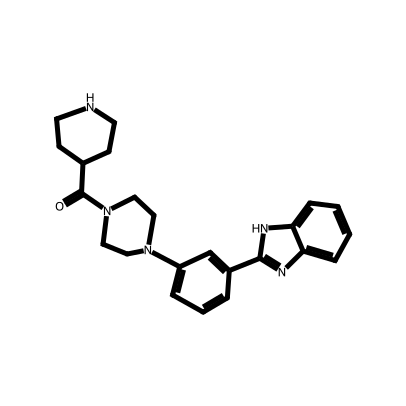 O=C(C1CCNCC1)N1CCN(c2cccc(-c3nc4ccccc4[nH]3)c2)CC1